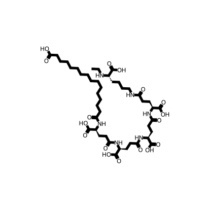 CCN[C@@H](CCCCNC(=O)CC[C@H](NC(=O)CC[C@H](NC(=O)CC[C@H](NC(=O)CC[C@H](NC(=O)CCCCCCCCCCCCCCC(=O)O)C(=O)O)C(=O)O)C(=O)O)C(=O)O)C(=O)O